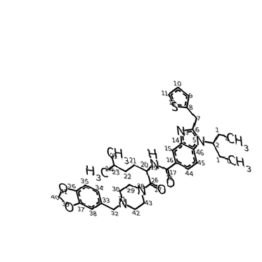 CCC(CC)n1c(Cc2cccs2)nc2cc(C(=O)NC(CCC(C)C)C(=O)N3CCN(Cc4ccc5c(c4)OCO5)CC3)ccc21